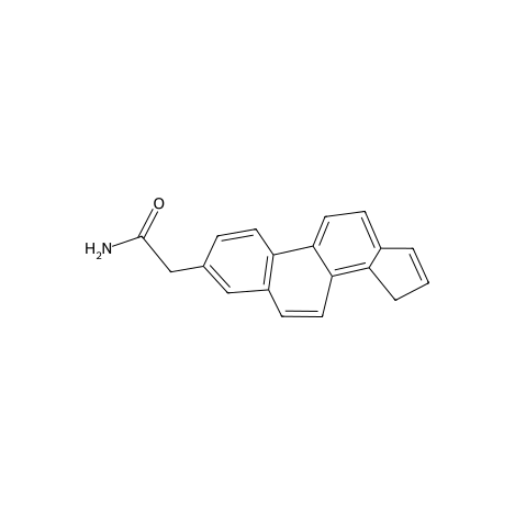 NC(=O)Cc1ccc2c(ccc3c4c(ccc32)C=CC4)c1